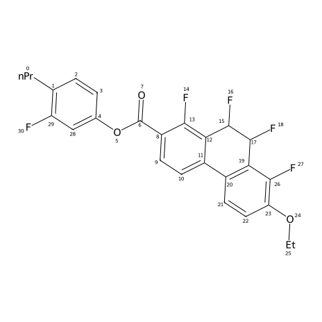 CCCc1ccc(OC(=O)c2ccc3c(c2F)C(F)C(F)c2c-3ccc(OCC)c2F)cc1F